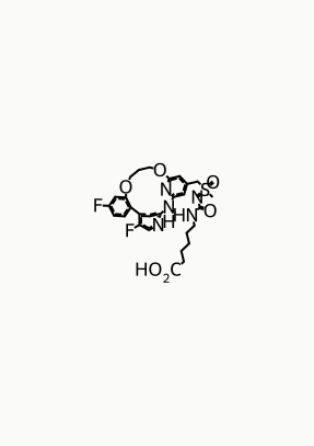 CS(=O)(Cc1cc2nc(c1)OCCCOc1cc(F)ccc1-c1cc(ncc1F)N2)=NC(=O)NCCCCCC(=O)O